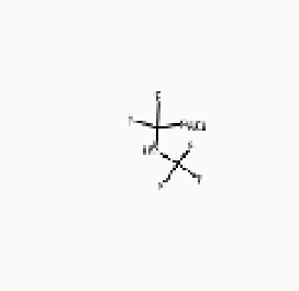 Cl.FC(F)(F)PC(F)(F)F